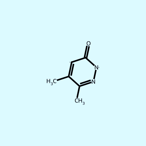 CC1=[C]C(=O)[N]N=C1C